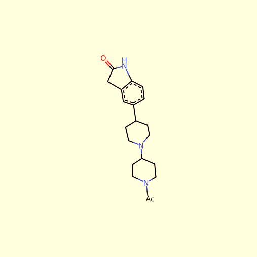 CC(=O)N1CCC(N2CCC(c3ccc4c(c3)CC(=O)N4)CC2)CC1